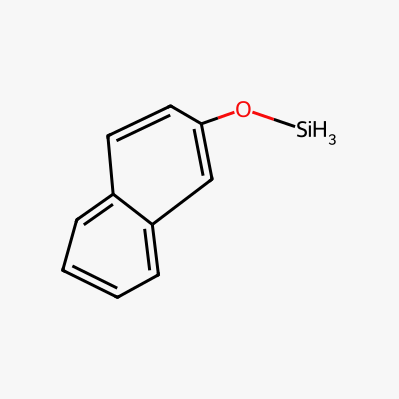 [SiH3]Oc1ccc2ccccc2c1